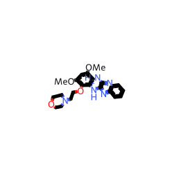 COc1cc(Nc2nc3ccccc3nc2N)c(OCCN2CCOCC2)c(OC)c1